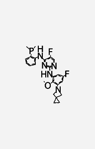 COc1c(Nc2ncc(F)c(Nc3ccccc3P(C)C)n2)cc(F)cc1N1CC2(CC2)C1